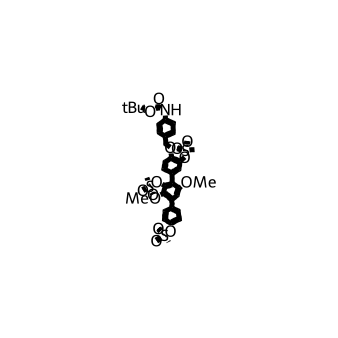 COc1cc(-c2ccc(OS(C)(=O)=O)cc2)c(OC)c(OS(C)(=O)=O)c1-c1ccc(OCc2ccc(NC(=O)OC(C)(C)C)cc2)c(OS(C)(=O)=O)c1